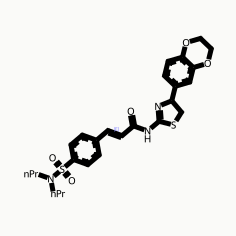 CCCN(CCC)S(=O)(=O)c1ccc(/C=C/C(=O)NC2=NC(c3ccc4c(c3)OCCO4)CS2)cc1